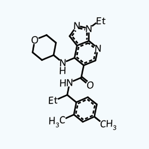 CCC(NC(=O)c1cnc2c(cnn2CC)c1NC1CCOCC1)c1ccc(C)cc1C